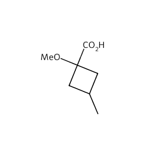 COC1(C(=O)O)CC(C)C1